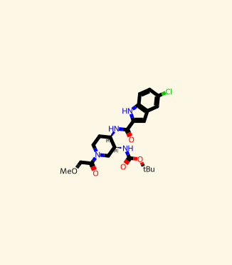 COCC(=O)N1CC[C@@H](NC(=O)c2cc3cc(Cl)ccc3[nH]2)[C@H](NC(=O)OC(C)(C)C)C1